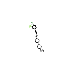 CCC[C@H]1CC[C@H](C2CCC(/C=C/C#Cc3ccc(Cl)c(F)c3)CC2)CC1